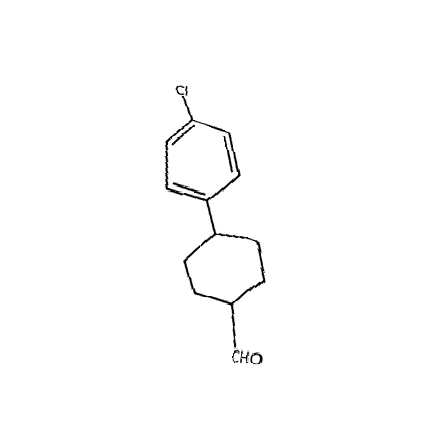 O=CC1CCC(c2ccc(Cl)cc2)CC1